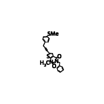 CSc1ccc(CC#Cc2cc3c(=O)n(Cc4ccccc4)c(=O)n(C)c3s2)cc1